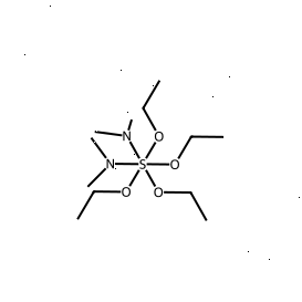 CCOS(OCC)(OCC)(OCC)(N(C)C)N(C)C